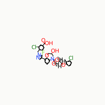 [2H]C([2H])(OC(=O)N1CC(O)COc2c(-c3cnn(Cc4c(F)cc(C(=O)O)cc4Cl)c3)cccc21)C([2H])([2H])Oc1cccc(Cl)c1C